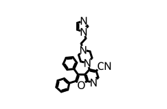 N#Cc1cnc2oc(-c3ccccc3)c(-c3ccccc3)c2c1N1CCN(CCn2ccnc2)CC1